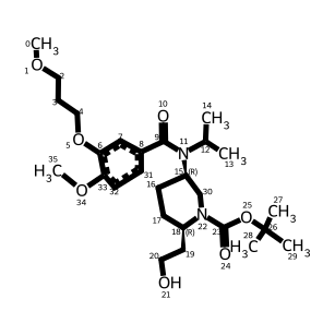 COCCCOc1cc(C(=O)N(C(C)C)[C@@H]2CC[C@H](CCO)N(C(=O)OC(C)(C)C)C2)ccc1OC